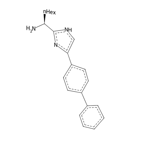 CCCCCC[C@H](N)c1nc(-c2ccc(-c3ccccc3)cc2)c[nH]1